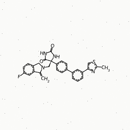 C=C1c2cc(F)ccc2CN1C[C@]1(c2ccc(-c3cccc(-c4csc(C)n4)c3)cc2)NC(=O)NC1=O